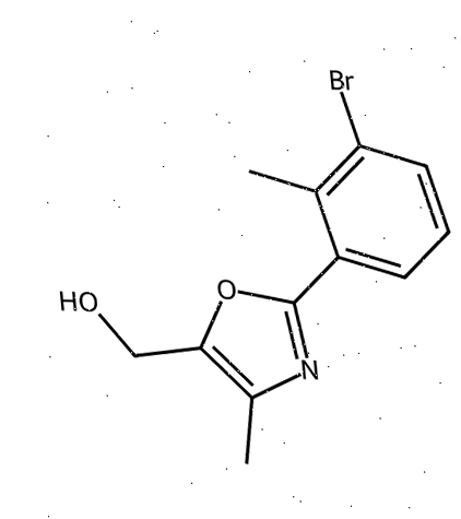 Cc1nc(-c2cccc(Br)c2C)oc1CO